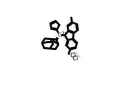 Cc1ccc2c(c1)[CH]([Ti+2]([C]1=CC=CC1)=[C]1C3CC4CC(C3)CC1C4)c1cc(C)ccc1-2.[Cl-].[Cl-]